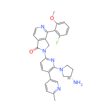 COc1cccc(F)c1-c1nccc2c1CN(c1ccc(-c3ccc(C)nc3)c(N3CC[C@H](N)C3)n1)C2=O